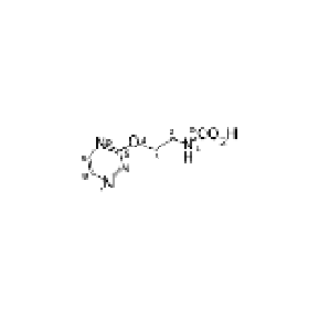 O=C(O)NCCOc1cnccn1